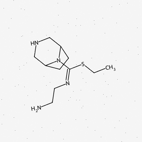 CCS/C(=N/CCN)N1C2CCC1CNC2